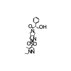 CCn1ncc(S(=O)(=O)n2cc3c(n2)CN(C(=O)[C@H](CO)c2ccccc2)C3)c1C